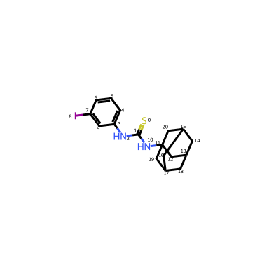 S=C(Nc1cccc(I)c1)NC12CC3CC(CC(C3)C1)C2